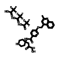 Cc1cc(COc2ccc(C(=O)NC3(CC(=O)NO)CCNCC3)cn2)c2ccccc2n1.O=C(O)C(F)(F)F.O=C(O)C(F)(F)F.O=C(O)C(F)(F)F